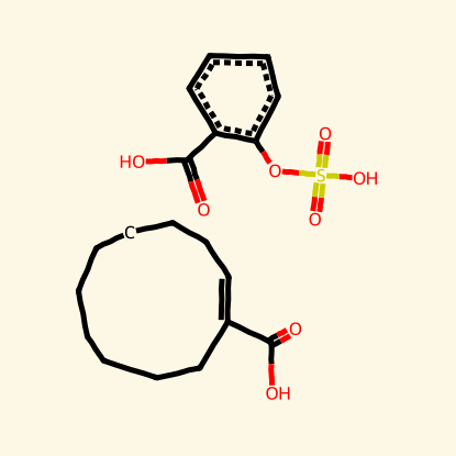 O=C(O)/C1=C/CCCCCCCCC1.O=C(O)c1ccccc1OS(=O)(=O)O